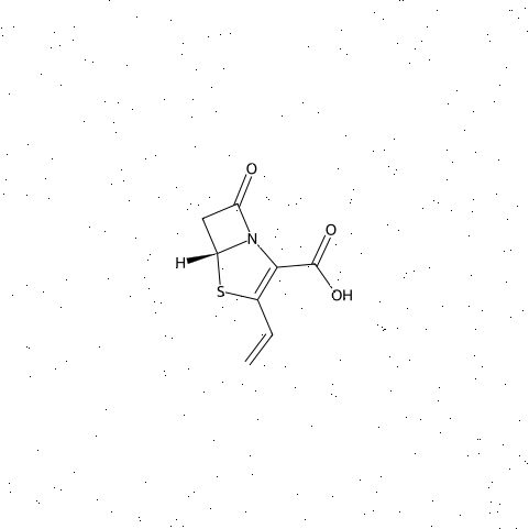 C=CC1=C(C(=O)O)N2C(=O)C[C@H]2S1